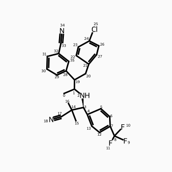 CC(N[C@@H](c1ccc(C(F)(F)F)cc1)C(C)(C)C#N)C(Cc1ccc(Cl)cc1)c1cccc(C#N)c1